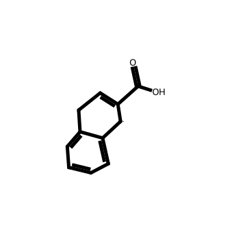 O=C(O)C1=CCc2ccccc2[CH]1